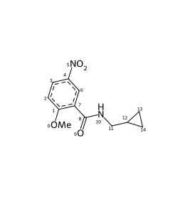 COc1ccc([N+](=O)[O-])cc1C(=O)NCC1CC1